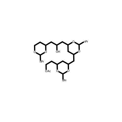 CCCC1OCCC(CC(O)CC2CC(CC3CC(CCOC(C)=O)OC(CCC)O3)OC(CCC)O2)O1